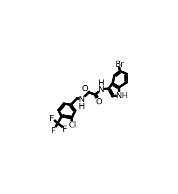 O=C(NCc1ccc(C(F)(F)F)c(Cl)c1)C(=O)Nc1c[nH]c2ccc(Br)cc12